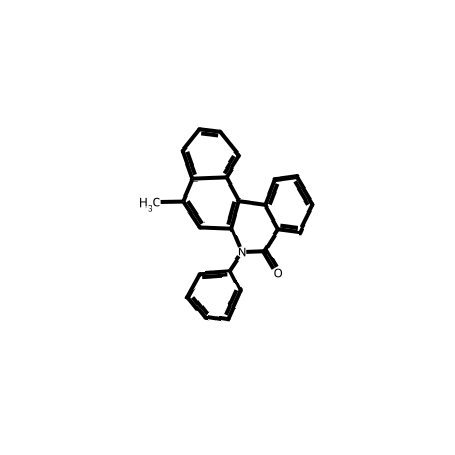 Cc1cc2c(c3ccccc13)c1ccccc1c(=O)n2-c1ccccc1